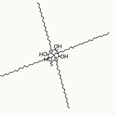 CCCCCCCCCCCCCCCCCCCCCC(CC(CC(CCCCCCCCCCCCCCCCCCCCC)C(O)=S)(CC(CCCCCCCCCCCCCCCCCCCCC)C(O)=S)CC(CCCCCCCCCCCCCCCCCCCCC)C(O)=S)C(O)=S